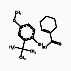 COc1ccc(O)c(C(C)(C)C)c1.O=C(O)C1=CCCCC1